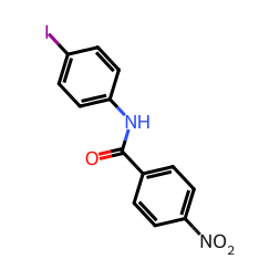 O=C(Nc1ccc(I)cc1)c1ccc([N+](=O)[O-])cc1